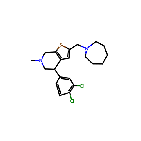 CN1Cc2sc(CN3CCCCCC3)cc2C(c2ccc(Cl)c(Cl)c2)C1